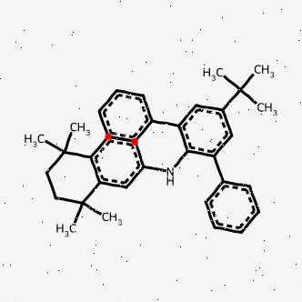 CC(C)(C)c1cc(-c2ccccc2)c(Nc2ccc3c(c2)C(C)(C)CCC3(C)C)c(-c2ccccc2)c1